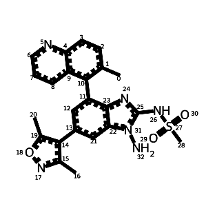 Cc1ccc2ncccc2c1-c1cc(-c2c(C)noc2C)cc2c1nc(NS(C)(=O)=O)n2N